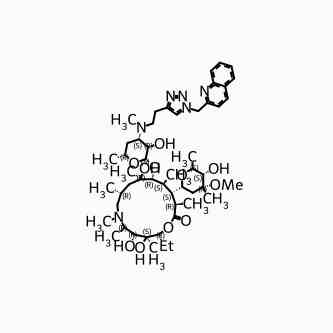 CC[C@H]1OC(=O)[C@H](C)[C@@H](C2C[C@@](C)(OC)[C@@H](O)[C@H](C)O2)[C@H](C)[C@@H](O[C@@H]2O[C@H](C)C[C@H](N(C)CCc3cn(Cc4ccc5ccccc5n4)nn3)[C@H]2O)[C@](C)(O)C[C@@H](C)CN(C)[C@H](C)[C@@H](O)[C@]1(C)O